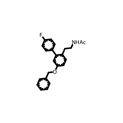 CC(=O)NCCc1ccc(OCc2ccccc2)cc1-c1ccc(F)cc1